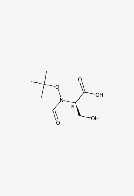 CC(C)(C)ON(C=O)[C@H](CO)C(=O)O